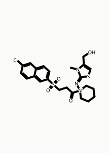 Cn1c(CO)cs/c1=N\[N+]1(C(=O)CCS(=O)(=O)c2ccc3cc(Cl)ccc3c2)CCCCC1